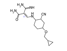 N#CC1CC(OCC2CC2)CCC1N/C=C(\C(=N)N)C(N)=O